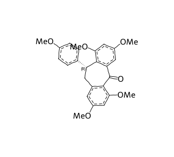 COc1ccc([C@H]2Cc3cc(OC)cc(OC)c3C(=O)c3cc(OC)cc(OC)c32)cc1